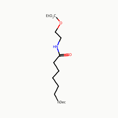 CCCCCCCCCCCCCCCC(=O)NCCOC(=O)OCC